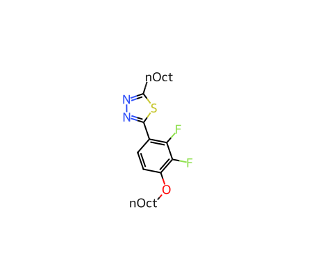 CCCCCCCCOc1ccc(-c2nnc(CCCCCCCC)s2)c(F)c1F